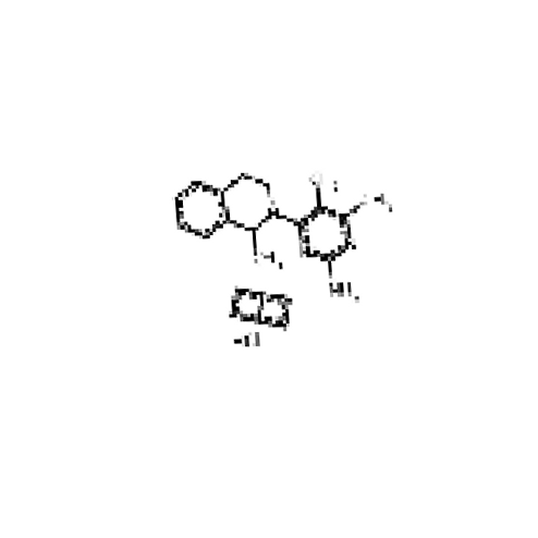 Cc1nc(N)nc(N2CCc3ccccc3C2C)c1C.Cl.c1cc2ccc1-2